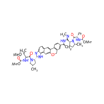 C=C(N/C(=N\C)[C@@H]1CC[C@H](C)N1C(=O)[C@@H](NC(=O)OC)C(C)C)c1ccc2c(c1)COc1cc3c(ccc4nc([C@@H]5C[C@H](C)CN5C(=O)[C@@H](NC(=O)OC)[C@@H](C)OC)[nH]c43)cc1-2